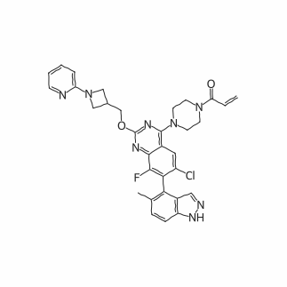 C=CC(=O)N1CCN(c2nc(OCC3CN(c4ccccn4)C3)nc3c(F)c(-c4c(C)ccc5[nH]ncc45)c(Cl)cc23)CC1